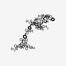 C=C(CC)[C@@H]([C@@H](CC(=O)N1CCC[C@H]1[C@H](OC)[C@@H](C)C(=O)N[C@@H](Cc1ccccc1)C(=O)OC)OC)N(C)C(=O)[C@@H](NC(=O)[C@H](C(C)C)N(C)CCc1ccc(NC(=O)OCc2ccc(NC(=O)[C@H](CCCNC(N)=O)NC(=O)[C@@H](NC(=O)OC(C)(C)C)C(C)C)cc2)cc1)C(C)C